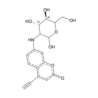 C#Cc1cc(=O)oc2cc(NC3C(O)OC(CO)[C@H](O)[C@H]3O)ccc12